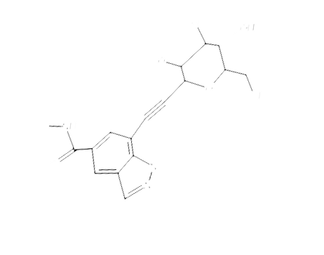 CNC(=O)c1cc(C#CC2OC(CO)[C@@H](O)C(O)C2O)c2[nH]ncc2c1